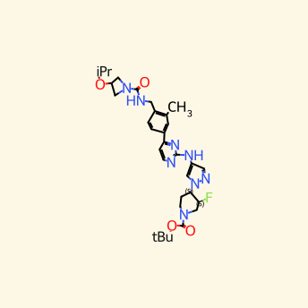 Cc1cc(-c2ccnc(Nc3cnn([C@H]4CCN(C(=O)OC(C)(C)C)C[C@@H]4F)c3)n2)ccc1CNC(=O)N1CC(OC(C)C)C1